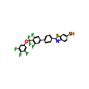 Fc1cc(OC(F)(F)c2c(F)cc(-c3ccc(-c4nc5ccc(S)cc5s4)cc3)cc2F)cc(F)c1F